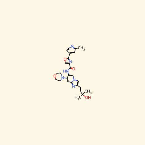 Cc1cc(-c2nc(C(=O)Nc3cn4cc(CCC(C)(C)O)nc4cc3N3CCOCC3)co2)ccn1